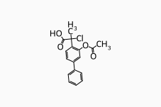 CC(=O)Oc1cc(-c2ccccc2)ccc1C(C)(Cl)C(=O)O